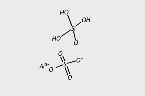 O=S(=O)([O-])[O-].[Al+3].[O-][Si](O)(O)O